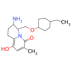 CCC1CCC(OCC2C(N)CCc3c(O)cc(C)c(=O)n32)CC1